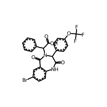 O=C(O)C(c1ccccc1)N1C(=O)c2cc(Br)ccc2NC(=O)C1c1ccc(OC(F)(F)F)cc1